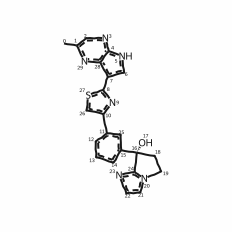 Cc1cnc2[nH]cc(-c3nc(-c4cccc([C@@]5(O)CCn6ccnc65)c4)cs3)c2n1